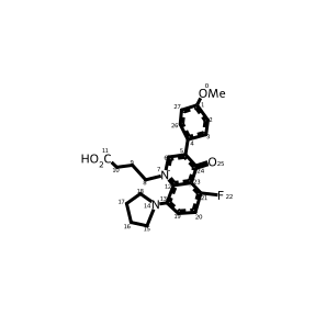 COc1ccc(-c2cn(CCCC(=O)O)c3c(N4CCCC4)ccc(F)c3c2=O)cc1